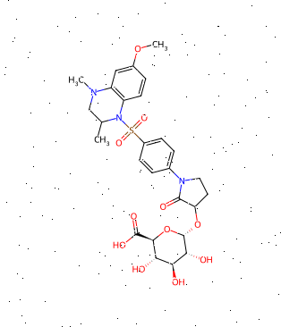 COc1ccc2c(c1)N(C)CC(C)N2S(=O)(=O)c1ccc(N2CCC(O[C@H]3O[C@H](C(=O)O)[C@@H](O)[C@H](O)[C@H]3O)C2=O)cc1